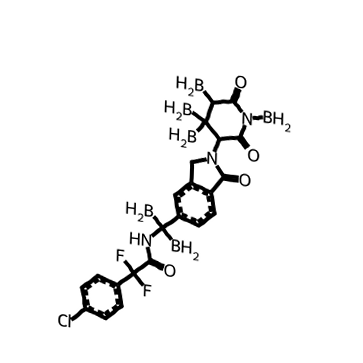 BC1C(=O)N(B)C(=O)C(N2Cc3cc(C(B)(B)NC(=O)C(F)(F)c4ccc(Cl)cc4)ccc3C2=O)C1(B)B